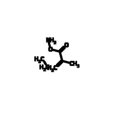 C=C(C)C(=O)ON.[CH2]C